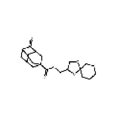 O=C1C2CC3CC1CC(C(=O)OCC1COC4(CCCCC4)O1)(C3)C2